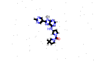 CCn1c(-c2cnc(C)nc2)nc2c(N[C@H]3CCN(C(=O)N4CCC(C)(C)C4)C3)ncnc21